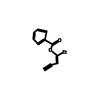 C#C/C=C(/CC)OC(=O)c1ccccc1